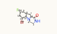 O=C1NCCn2c1cc1cc(F)cc(Br)c12